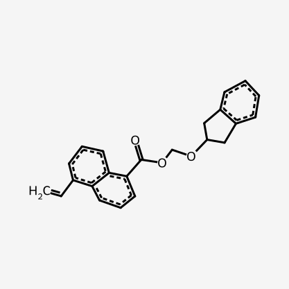 C=Cc1cccc2c(C(=O)OCOC3Cc4ccccc4C3)cccc12